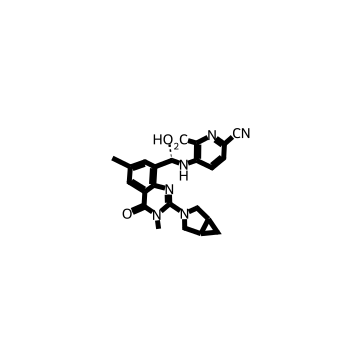 Cc1cc([C@H](C)Nc2ccc(C#N)nc2C(=O)O)c2nc(N3CC4CC4C3)n(C)c(=O)c2c1